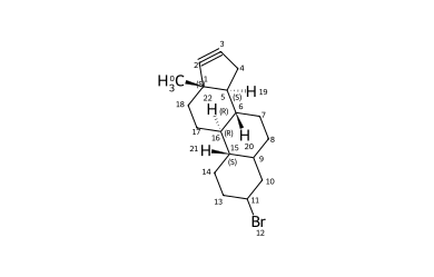 C[C@@]12C#CC[C@H]1[C@@H]1CCC3CC(Br)CC[C@@H]3[C@H]1CC2